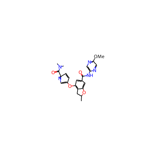 COc1cnc(NC(=O)c2cc(Oc3ccc(C(=O)N(C)C)nc3)c3c(c2)OC(C)C3)cn1